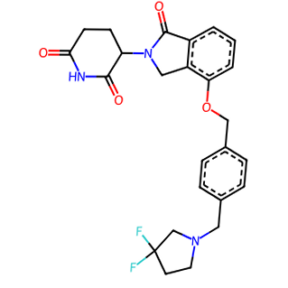 O=C1CCC(N2Cc3c(OCc4ccc(CN5CCC(F)(F)C5)cc4)cccc3C2=O)C(=O)N1